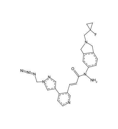 [N-]=[N+]=NCn1cc(-c2ccncc2/C=C/C(=O)N(N)c2ccc3c(c2)CN(CC2(F)CC2)C3)cn1